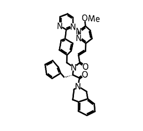 COc1ccc(C=CC(=O)N(Cc2ccc(-c3ncccn3)cc2)[C@@H](Cc2ccccc2)C(=O)N2CCc3ccccc3C2)nn1